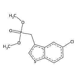 COP(=O)(Cc1csc2ccc(Cl)cc12)OC